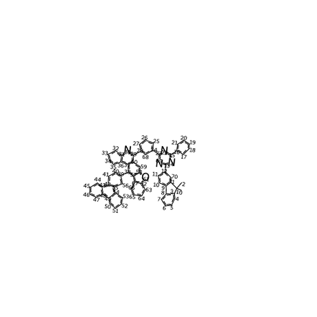 CC1(C)c2ccccc2-c2ccc(-c3nc(-c4ccccc4)nc(-c4cccc(-c5nc6ccccc6c6c(-c7ccc8c9ccccc9c9ccccc9c8c7)c7c(cc56)oc5ccccc57)c4)n3)cc21